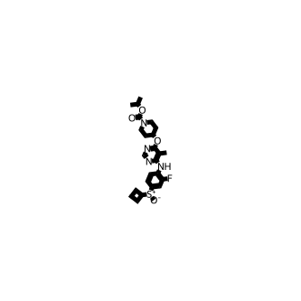 Cc1c(Nc2ccc([S+]([O-])C3CCC3)cc2F)ncnc1OC1CCN(C(=O)OC(C)C)CC1